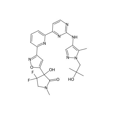 Cc1c(Nc2nccc(-c3cccc(-c4cc(C5(O)C(=O)N(C)CC5(F)F)on4)n3)n2)cnn1CC(C)(C)O